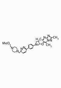 COCCN1CCN(Cc2ccc(-c3ccc(N4CCC(Oc5c(C)nc6nc(C)nn6c5C)C4)cc3)nn2)CC1